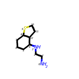 NCCNC1CCCC2SCCC12